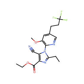 CCOC(=O)c1nc(CC)n(-c2ncc(CCC(F)(F)F)cc2OC)c1C#N